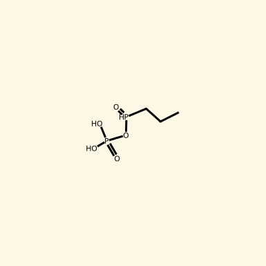 CCC[PH](=O)OP(=O)(O)O